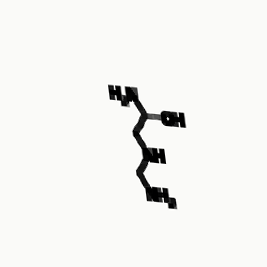 NCNCC(N)O